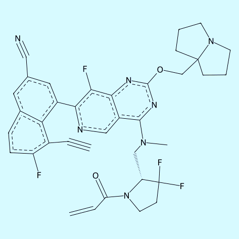 C#Cc1c(F)ccc2cc(C#N)cc(-c3ncc4c(N(C)C[C@H]5N(C(=O)C=C)CCC5(F)F)nc(OCC56CCCN5CCC6)nc4c3F)c12